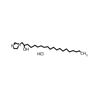 CCCCCCCCCCCCCCCCCCC(O)CN1C=NCC1.Cl